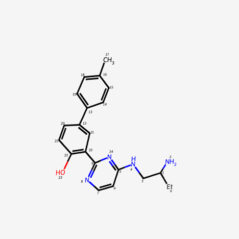 CCC(N)CNc1ccnc(-c2cc(-c3ccc(C)cc3)ccc2O)n1